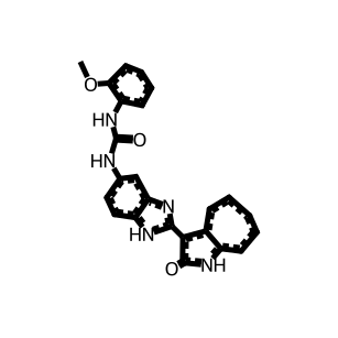 COc1ccccc1NC(=O)Nc1ccc2[nH]c(-c3c4cccccc-4[nH]c3=O)nc2c1